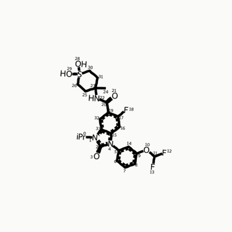 CC(C)n1c(=O)n(-c2cccc(OC(F)F)c2)c2cc(F)c(C(=O)NC3(C)CCS(O)(O)CC3)cc21